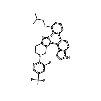 CC(C)COc1cccc2c3ccc4[nH]ccc4c3c3c4c(nn3c12)CCN(c1ncc(C(F)(F)F)cc1F)C4